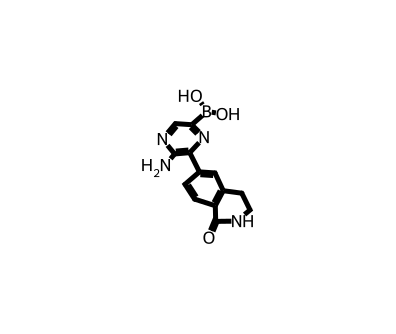 Nc1ncc(B(O)O)nc1-c1ccc2c(c1)CCNC2=O